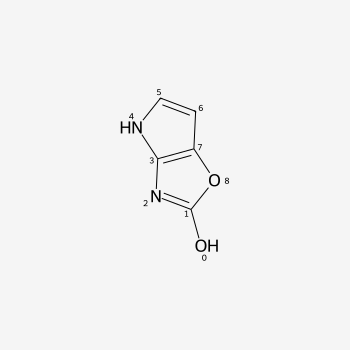 Oc1nc2[nH]ccc2o1